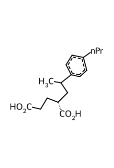 CCCc1ccc(C(C)C[C@@H](CCC(=O)O)C(=O)O)cc1